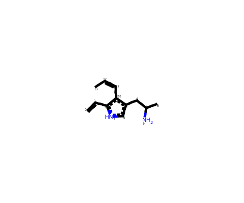 C=Cc1[nH]cc(CC(C)N)c1/C=C\C